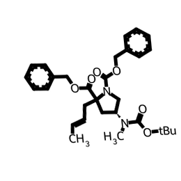 C/C=C/CC1(C(=O)OCc2ccccc2)C[C@@H](N(C)C(=O)OC(C)(C)C)CN1C(=O)OCc1ccccc1